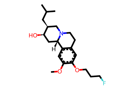 COc1cc2c(cc1OCCCF)CCN1C[C@H](CC(C)C)[C@H](O)C[C@@H]21